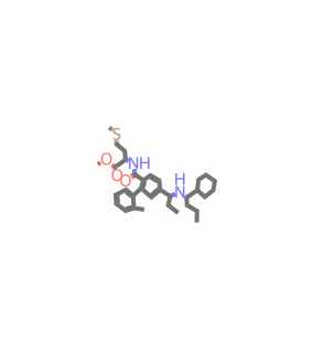 CCCC(NC(CC)c1ccc(C(=O)NC(CCSC)C(=O)OC)c(-c2ccccc2C)c1)C1CCCCC1